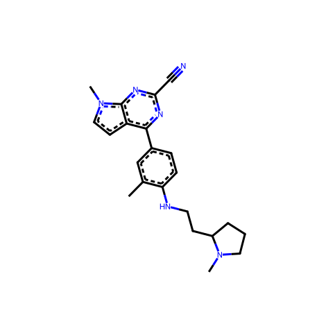 Cc1cc(-c2nc(C#N)nc3c2ccn3C)ccc1NCCC1CCCN1C